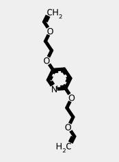 C=COCCOc1ccc(OCCOC=C)nc1